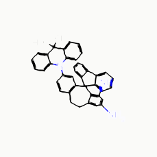 CC1(C)c2ccccc2N(c2ccc3c(c2)C2(c4ccccc4-c4ccccc42)c2c(N)cc(N)cc2CC3)c2ccccc21